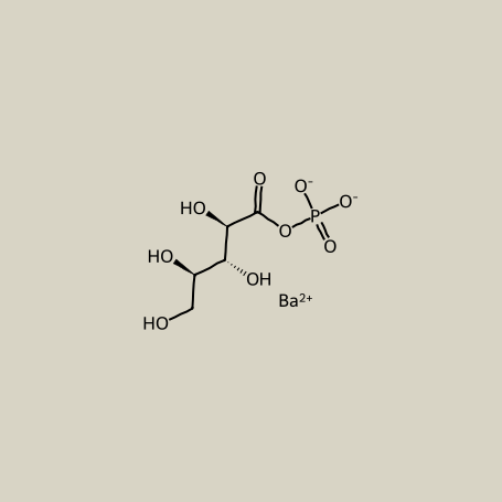 O=C(OP(=O)([O-])[O-])[C@H](O)[C@H](O)[C@H](O)CO.[Ba+2]